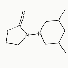 CC1CC(C)CN(N2CCCC2=O)C1